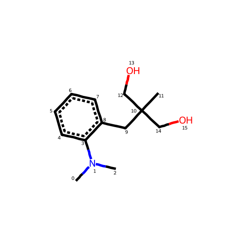 CN(C)c1ccccc1CC(C)(CO)CO